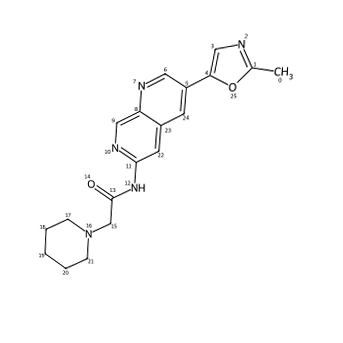 Cc1ncc(-c2cnc3cnc(NC(=O)CN4CCCCC4)cc3c2)o1